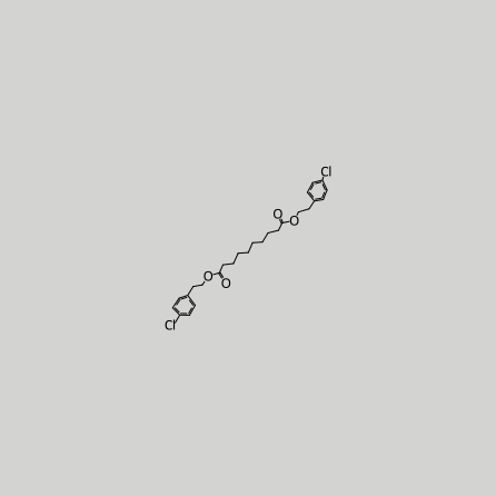 O=C(CCCCCCCCC(=O)OCCc1ccc(Cl)cc1)OCCc1ccc(Cl)cc1